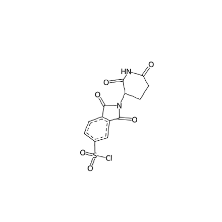 O=C1CCC(N2C(=O)c3ccc(S(=O)(=O)Cl)cc3C2=O)C(=O)N1